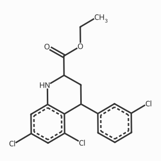 CCOC(=O)C1CC(c2cccc(Cl)c2)c2c(Cl)cc(Cl)cc2N1